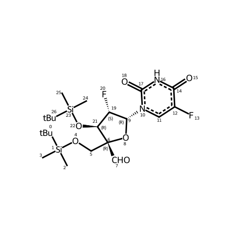 CC(C)(C)[Si](C)(C)OC[C@@]1(C=O)O[C@@H](n2cc(F)c(=O)[nH]c2=O)[C@@H](F)[C@@H]1O[Si](C)(C)C(C)(C)C